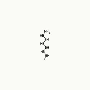 CBBBBBBN